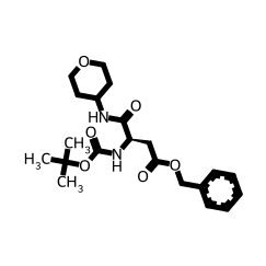 CC(C)(C)OC(=O)N[C@H](CC(=O)OCc1ccccc1)C(=O)NC1CCOCC1